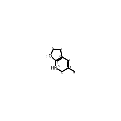 CC1=CC2=C(NC1)OCC2